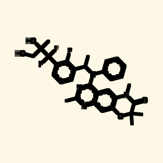 Cc1nc(N(c2ccccc2)C(C)c2cccc(C(F)(F)C(C)(O)CO)c2F)c2cc3c(cc2n1)OC(C)(C)C(=O)N3C